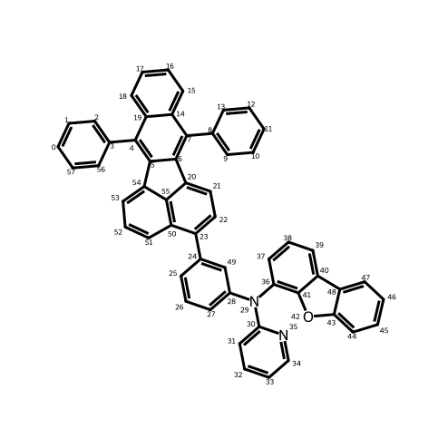 c1ccc(-c2c3c(c(-c4ccccc4)c4ccccc24)-c2ccc(-c4cccc(N(c5ccccn5)c5cccc6c5oc5ccccc56)c4)c4cccc-3c24)cc1